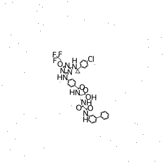 O=C(NC[C@H](NC(=O)c1ccc(Nc2nc(NC3(c4ccc(Cl)cc4)CC3)nc(OCC(F)(F)F)n2)cc1)C(=O)O)C(=O)Nc1cccc(-c2ccccc2)c1